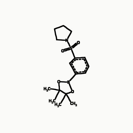 CC1(C)OB(c2cccc(S(=O)(=O)N3CCCC3)c2)OC1(C)C